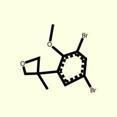 COc1c(Br)cc(Br)cc1C1(C)COC1